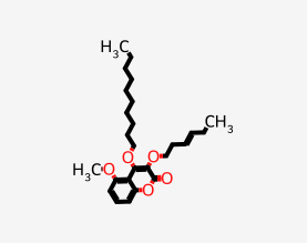 CCC=CCCOc1c(OCCCCCCCCCC)c2c(OC)cccc2oc1=O